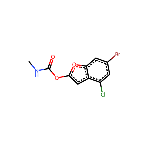 CNC(=O)Oc1cc2c(Cl)cc(Br)cc2o1